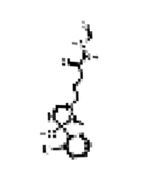 CN1N(CCCC(=O)NNC=S)C=NC1(O)c1ccccc1Cl